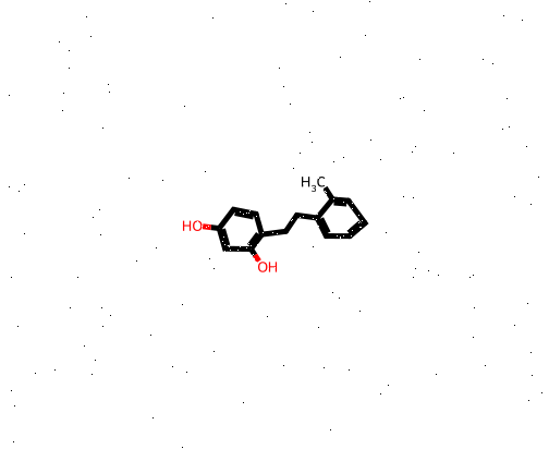 Cc1ccccc1CCc1ccc(O)cc1O